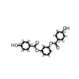 O=C(Oc1cccc(OC(=O)c2ccc(O)cc2)c1)c1ccc(O)cc1